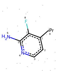 CC(C)c1ccnc(N)c1F